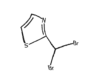 BrC(Br)c1nccs1